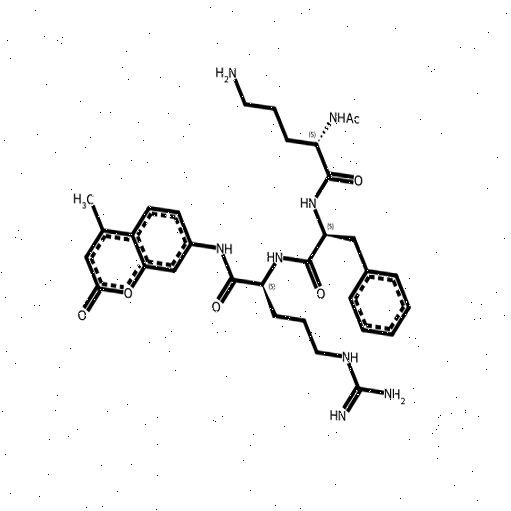 CC(=O)N[C@@H](CCCN)C(=O)N[C@@H](Cc1ccccc1)C(=O)N[C@@H](CCCNC(=N)N)C(=O)Nc1ccc2c(C)cc(=O)oc2c1